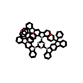 c1ccc(C2(c3ccccc3)c3ccccc3-c3cc4c5ccccc5n(-c5nc(-n6c7ccccc7c7cc8c(cc76)C(c6ccccc6)(c6ccccc6)c6ccccc6-8)nc(-n6c7ccccc7c7cc8c(cc76)C(c6ccccc6)(c6ccccc6)c6ccccc6-8)n5)c4cc32)cc1